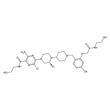 CC[C@H]1CN(c2nc(N)c(C(=O)NCCO)nc2Cl)CCN1C1CCN(Cc2ccc(C#N)cc2OCC(=O)NCCO)CC1